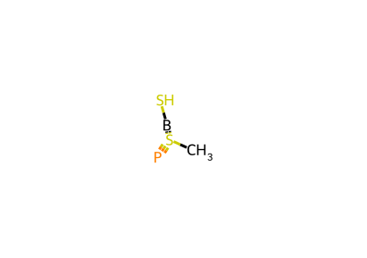 CS(#P)=BS